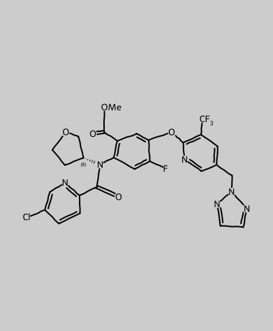 COC(=O)c1cc(Oc2ncc(Cn3nccn3)cc2C(F)(F)F)c(F)cc1N(C(=O)c1ccc(Cl)cn1)[C@@H]1CCOC1